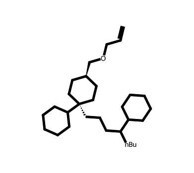 C=CCOC[C@H]1CC[C@@](CCCC(CCCC)C2CCCCC2)(C2CCCCC2)CC1